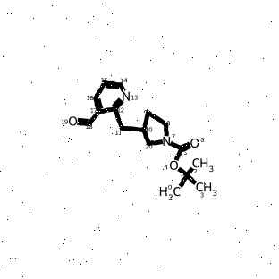 CC(C)(C)OC(=O)N1CCC(Cc2ncccc2C=O)C1